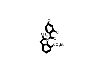 CCOC(=O)c1cccc2c1N(C(=O)c1ccc(Cl)cc1Cl)C(C)C2